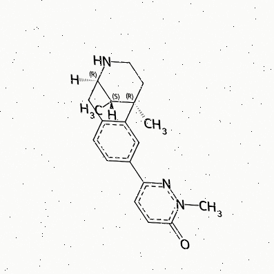 C[C@@H]1[C@H]2Cc3ccc(-c4ccc(=O)n(C)n4)cc3[C@]1(C)CCN2